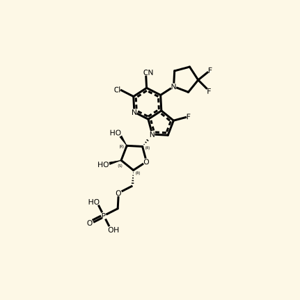 N#Cc1c(Cl)nc2c(c(F)cn2[C@@H]2O[C@H](COCP(=O)(O)O)[C@@H](O)[C@H]2O)c1N1CCC(F)(F)C1